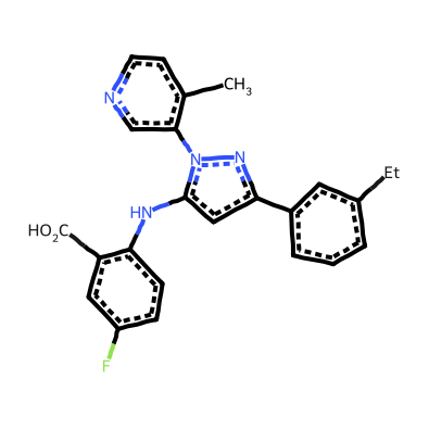 CCc1cccc(-c2cc(Nc3ccc(F)cc3C(=O)O)n(-c3cnccc3C)n2)c1